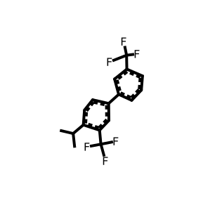 CC(C)c1ccc(-c2cccc(C(F)(F)F)c2)cc1C(F)(F)F